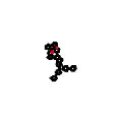 CC1(C)c2cc(-c3cccc4c3-c3c(ccc5ccccc35)C43c4ccccc4-c4ccccc43)ccc2-c2ccc(N(c3ccc(-c4ccccc4)cc3)c3ccc(-c4ccccc4)cc3)cc21